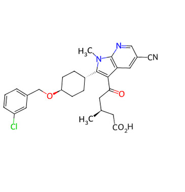 C[C@H](CC(=O)O)CC(=O)c1c2cc(C#N)cnc2n(C)c1[C@H]1CC[C@H](OCc2cccc(Cl)c2)CC1